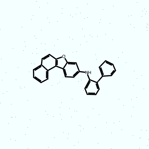 c1ccc(-c2ccccc2Nc2ccc3c(c2)oc2ccc4ccccc4c23)cc1